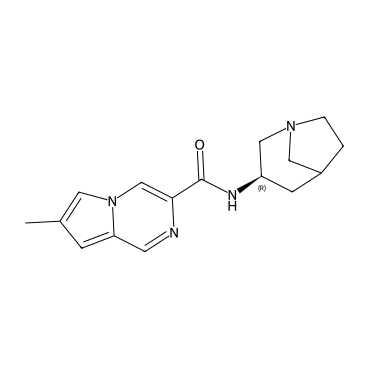 Cc1cc2cnc(C(=O)N[C@@H]3CC4CCN(C4)C3)cn2c1